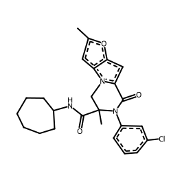 Cc1cc2c(cc3n2CC(C)(C(=O)NC2CCCCCC2)N(c2cccc(Cl)c2)C3=O)o1